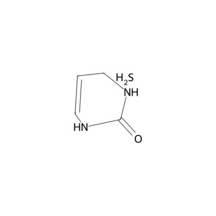 O=C1NC=CCN1.S